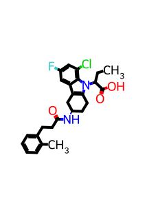 CCC(C(=O)O)n1c2c(c3cc(F)cc(Cl)c31)C[C@@H](NC(=O)CCc1ccccc1C)CC2